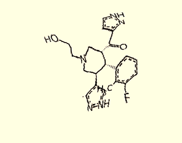 Cc1c(F)cccc1[C@H]1[C@@H](C(=O)c2cc[nH]n2)CN(CCO)C[C@@H]1c1[c]n[nH]c1